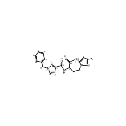 Cc1cc2n(n1)CCC(NC(=O)c1ncn(Cc3ccccc3)n1)C(=O)N2